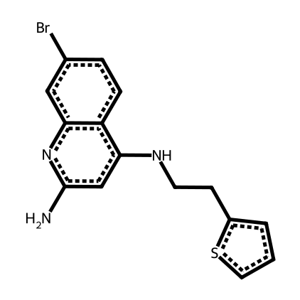 Nc1cc(NCCc2cccs2)c2ccc(Br)cc2n1